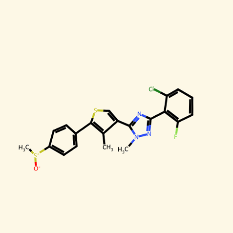 Cc1c(-c2nc(-c3c(F)cccc3Cl)nn2C)csc1-c1ccc([S+](C)[O-])cc1